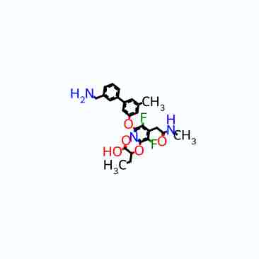 CCC(Oc1nc(Oc2cc(C)cc(-c3cccc(CN)c3)c2)c(F)c(CC(=O)NC)c1F)C(=O)O